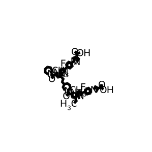 CCc1cc(C(=O)N2CCC(CCc3cc(C(=O)N4CCCCC[C@H]4C)nc4cc(-c5ccc(-n6cc(C(=O)O)cn6)cc5F)nn34)CC[C@H]2C)nc2cc(-c3ccc(N4CC(C(=O)O)C4)cc3F)nn12